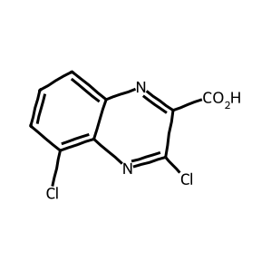 O=C(O)c1nc2cccc(Cl)c2nc1Cl